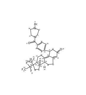 CC(=O)N1CCN(C(=O)c2ccc(C3CC(=O)C=C4CC[C@@H]5C(=C43)CC[C@@]3(C)[C@H]5CCC3(O)C(F)(F)C(F)(F)F)cc2)CC1